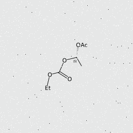 CCOC(=O)O[C@@H](C)OC(C)=O